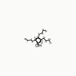 CCCCc1cc(CCCC)c(CCCC)cc1O